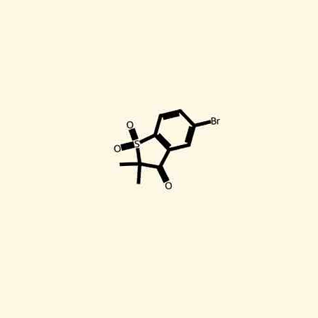 CC1(C)C(=O)c2cc(Br)ccc2S1(=O)=O